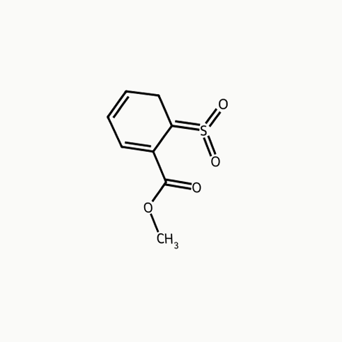 COC(=O)C1=CC=CCC1=S(=O)=O